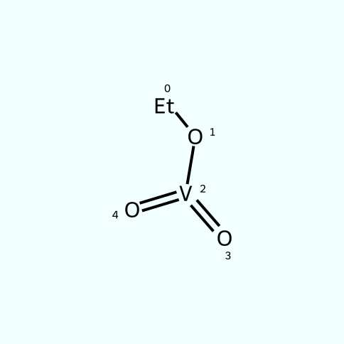 CC[O][V](=[O])=[O]